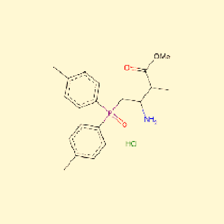 COC(=O)C(C)C(N)CP(=O)(c1ccc(C)cc1)c1ccc(C)cc1.Cl